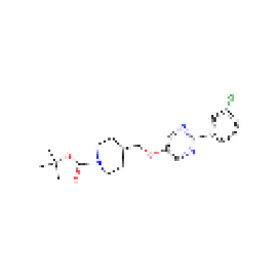 CC(C)(C)OC(=O)N1CCC(COc2cnc(-c3cccc(Cl)c3)nc2)CC1